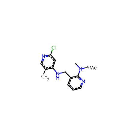 CSN(C)c1ncccc1CNc1cc(Cl)ncc1C(F)(F)F